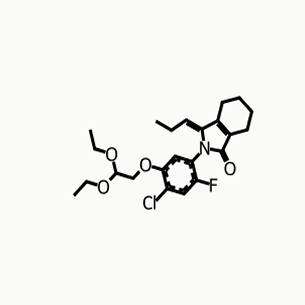 CCC=C1C2=C(CCCC2)C(=O)N1c1cc(OCC(OCC)OCC)c(Cl)cc1F